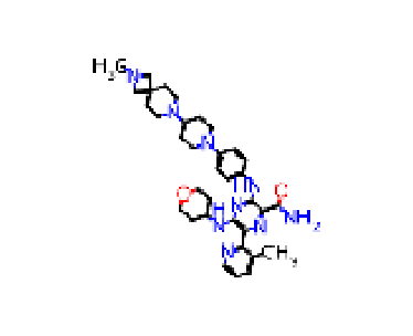 Cc1cccnc1-c1nc(C(N)=O)c(Nc2ccc(N3CCC(N4CCC5(CC4)CN(C)C5)CC3)cc2)nc1NC1CCOCC1